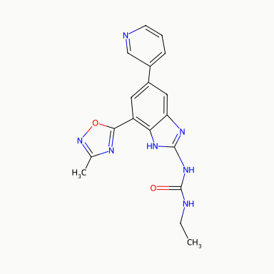 CCNC(=O)Nc1nc2cc(-c3cccnc3)cc(-c3nc(C)no3)c2[nH]1